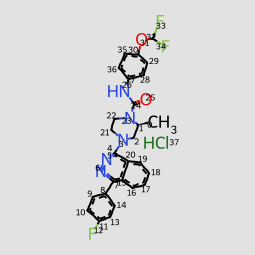 C[C@H]1CN(c2nnc(-c3ccc(F)cc3)c3ccccc23)CCN1C(=O)Nc1ccc(OC(F)F)cc1.Cl